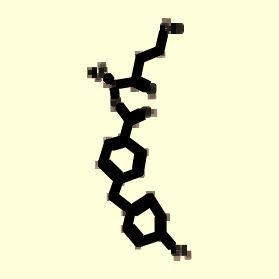 Cc1ccc(Cc2ccc(C(=O)ON(C)C(=O)CCC=O)cc2)cc1